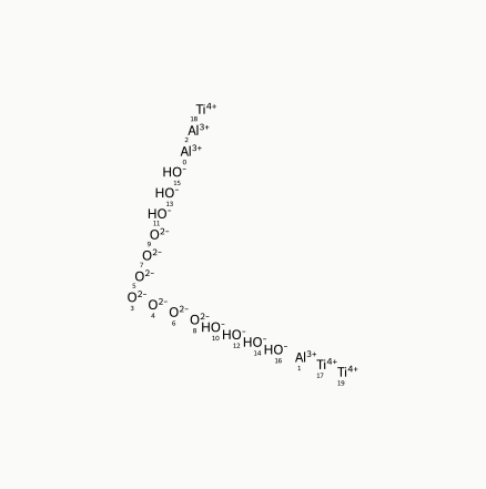 [Al+3].[Al+3].[Al+3].[O-2].[O-2].[O-2].[O-2].[O-2].[O-2].[O-2].[OH-].[OH-].[OH-].[OH-].[OH-].[OH-].[OH-].[Ti+4].[Ti+4].[Ti+4]